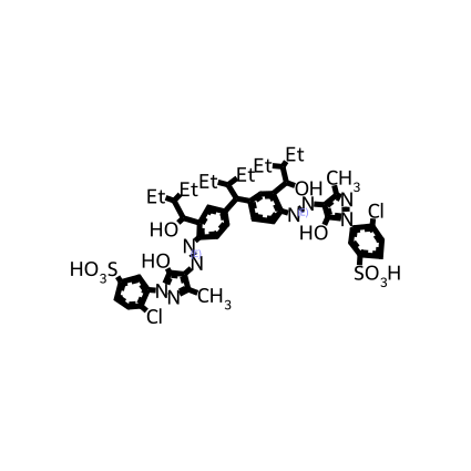 CCC(CC)C(O)c1cc(C(c2ccc(/N=N/c3c(C)nn(-c4cc(S(=O)(=O)O)ccc4Cl)c3O)c(C(O)C(CC)CC)c2)C(CC)CC)ccc1/N=N/c1c(C)nn(-c2cc(S(=O)(=O)O)ccc2Cl)c1O